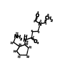 C=CN(C=O)CCC(=O)NC1CCCCC1CN